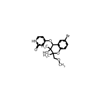 COCC1(C)Oc2ccc(Br)cc2C(Oc2cc[nH]c(=O)c2)C1(C)O